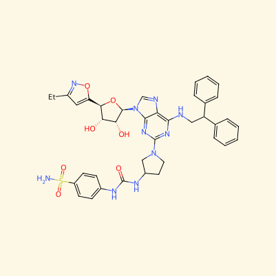 CCc1cc([C@H]2O[C@@H](n3cnc4c(NCC(c5ccccc5)c5ccccc5)nc(N5CCC(NC(=O)Nc6ccc(S(N)(=O)=O)cc6)C5)nc43)[C@H](O)[C@@H]2O)on1